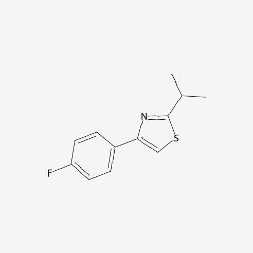 CC(C)c1nc(-c2ccc(F)cc2)cs1